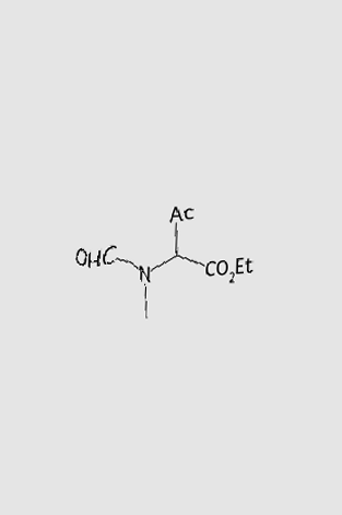 CCOC(=O)C(C(C)=O)N(C)C=O